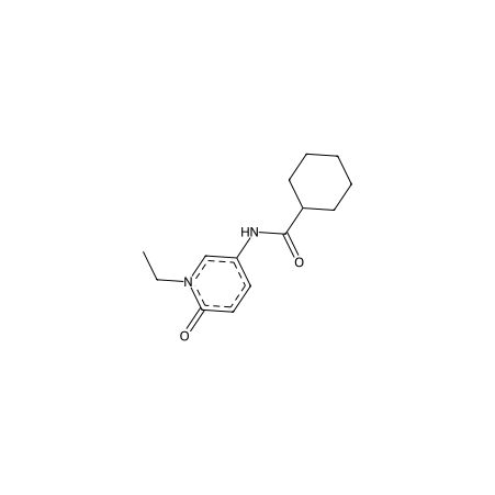 CCn1cc(NC(=O)C2CCCCC2)ccc1=O